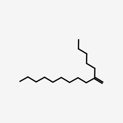 C=C(CCCCC)CCCCCCCCC